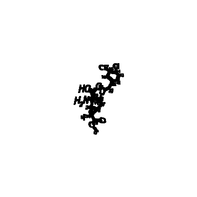 COC(=O)[C@@]1(F)C2C[C@@H](OCc3ccc(Cl)c(Cl)c3)[C@@](N)(C(=O)O)C21